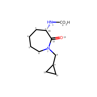 O=C(O)N[C@H]1CCCCN(CC2CC2)C1=O